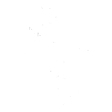 c1ccc(-c2c3ccccc3c(-c3ccccc3)c3cc(-c4ccc5c(c4)c4cccc6nc(-c7ccccc7)n5c64)ccc23)cc1